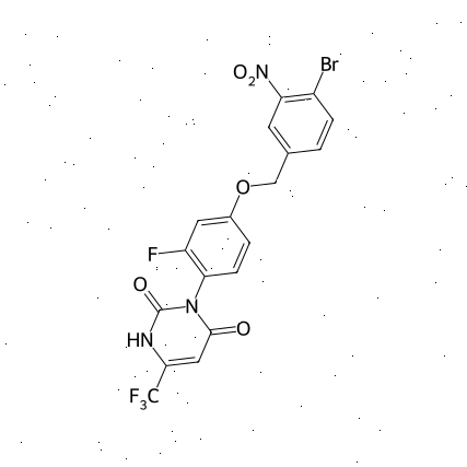 O=c1cc(C(F)(F)F)[nH]c(=O)n1-c1ccc(OCc2ccc(Br)c([N+](=O)[O-])c2)cc1F